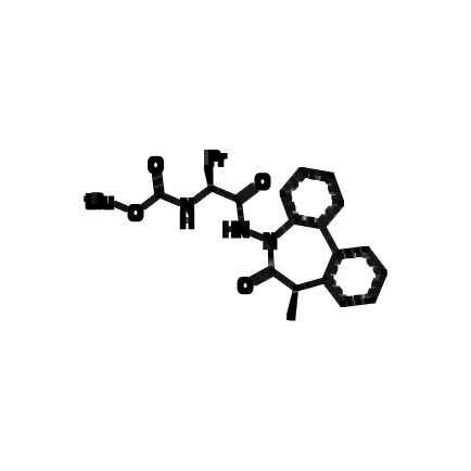 CC(C)[C@H](NC(=O)OC(C)(C)C)C(=O)NN1C(=O)[C@H](C)c2ccccc2-c2ccccc21